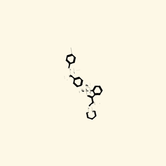 O=C(NCc1ccc(F)cc1)c1ccc(S(=O)(=O)n2cc(C(=O)CN3CCCCC3)c3ccccc32)cc1